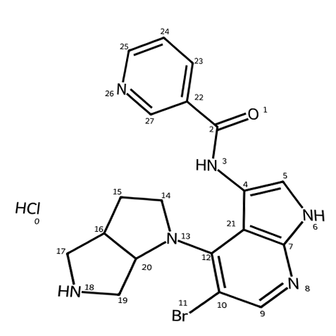 Cl.O=C(Nc1c[nH]c2ncc(Br)c(N3CCC4CNCC43)c12)c1cccnc1